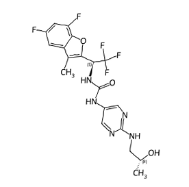 Cc1c([C@H](NC(=O)Nc2cnc(NC[C@@H](C)O)nc2)C(F)(F)F)oc2c(F)cc(F)cc12